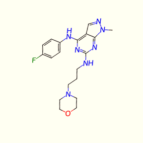 Cn1ncc2c(Nc3ccc(F)cc3)nc(NCCCN3CCOCC3)nc21